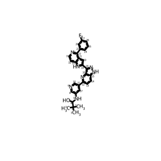 CC(C)(C)C(O)Nc1cncc(-c2ccc3[nH]nc(-c4cc5c(-c6cccc(F)c6)nccc5[nH]4)c3n2)c1